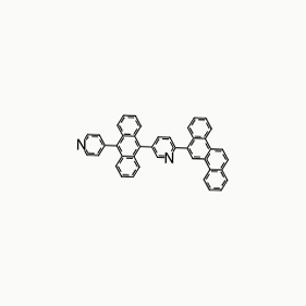 c1ccc2c(c1)ccc1c3ccccc3c(-c3ccc(-c4c5ccccc5c(-c5ccncc5)c5ccccc45)cn3)cc21